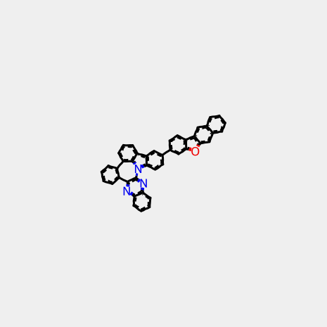 c1ccc2c(c1)-c1nc3ccccc3nc1-n1c3ccc(-c4ccc5c(c4)oc4cc6ccccc6cc45)cc3c3cccc-2c31